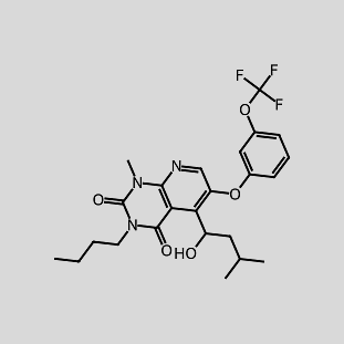 CCCCn1c(=O)c2c(C(O)CC(C)C)c(Oc3cccc(OC(F)(F)F)c3)cnc2n(C)c1=O